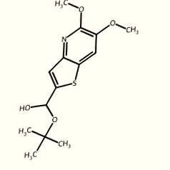 COc1cc2sc(C(O)OC(C)(C)C)cc2nc1OC